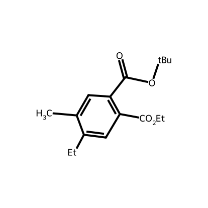 CCOC(=O)c1cc(CC)c(C)cc1C(=O)OC(C)(C)C